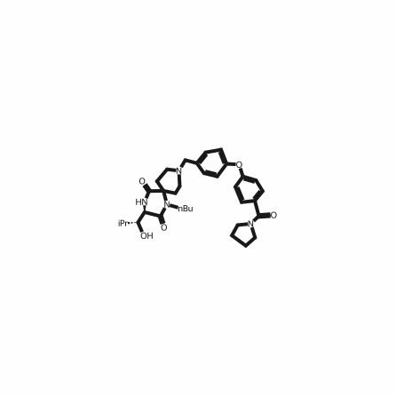 CCCCN1C(=O)[C@@H]([C@H](O)C(C)C)NC(=O)C12CCN(Cc1ccc(Oc3ccc(C(=O)N4CCCC4)cc3)cc1)CC2